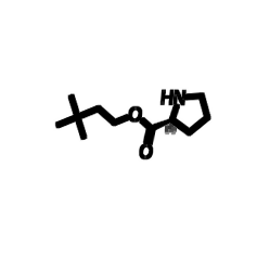 CC(C)(C)CCOC(=O)[C@@H]1CCCN1